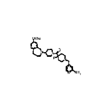 COc1ccc2c(c1)CN(C1CCN(C(=O)C3(F)CCN(Cc4ccnc(N)c4)CC3)CC1)CCC2